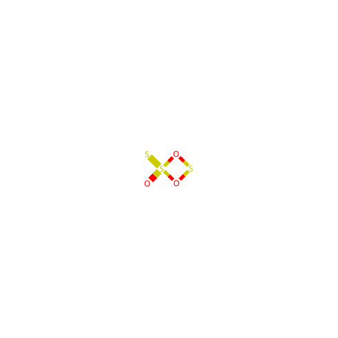 O=S1(=S)OSO1